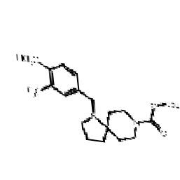 CC(C)(C)OC(=O)N1CCC2(CCCN2Cc2ccc(C(=O)O)c(C(F)(F)F)c2)CC1